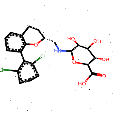 O=C(O)C1OC(NC[C@H]2CCc3cccc(-c4c(Cl)cccc4Cl)c3O2)C(O)C(O)C1O